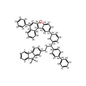 CC1(C)c2ccccc2-c2ccc(CCC(C3=CC=CC(c4ccc5oc6cc(-c7ccccc7)c7ccccc7c6c5c4)C3)c3ccc(-c4ccccc4)cc3)cc21